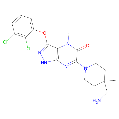 Cn1c(=O)c(N2CCC(C)(CN)CC2)nc2[nH]nc(Oc3cccc(Cl)c3Cl)c21